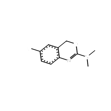 CN(C)C1=Nc2ccc(Cl)cc2CO1